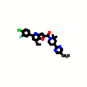 CC(C)(C)c1cc(-c2ccc(Cl)c(F)c2)nc2cc(C(=O)N3CCC(c4ncc(C(=O)O)cn4)CC3(C)C)oc12